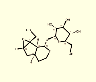 OC[C@H]1O[C@@H](O[C@@H]2OCC[C@H]3C[C@@H]4O[C@]4(CO)[C@H]32)[C@H](O)[C@@H](O)[C@@H]1O